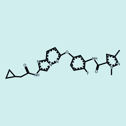 Cc1cc(C(=O)Nc2cc(Oc3ccc4nc(NC(=O)CC5CC5)cn4n3)ccc2F)n(C)n1